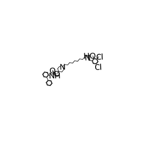 CN(CCCCCCCCCN1CCC(OC(=O)Nc2ccccc2-c2ccccc2)CC1)Cc1cc(Cl)cc(Cl)c1O